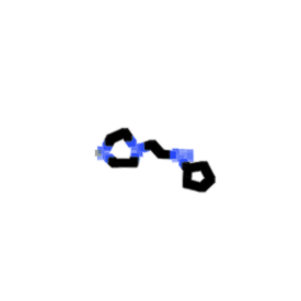 C1CCC(NCCN2CC[N]CC2)C1